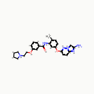 Cc1ccc(Oc2ccc3nc(N)cn3n2)cc1NC(=O)c1cccc(OCCN2CCCC2)c1